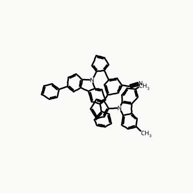 Cc1ccc2c(c1)c1cc(C)ccc1n2-c1ccccc1-c1cc(C#N)cc(-c2ccccc2-n2c3ccc(-c4ccccc4)cc3c3cc(-c4ccccc4)ccc32)c1